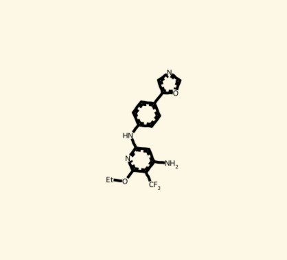 CCOc1nc(Nc2ccc(-c3cnco3)cc2)cc(N)c1C(F)(F)F